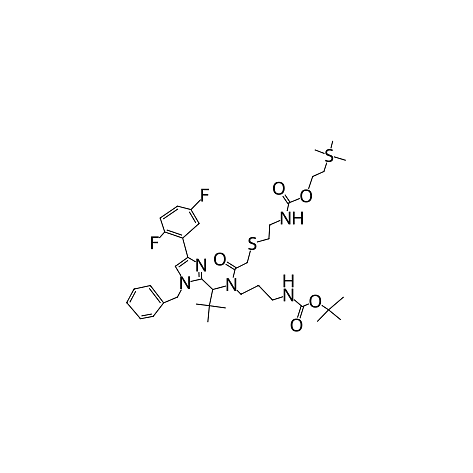 CC(C)(C)OC(=O)NCCCN(C(=O)CSCCNC(=O)OCCS(C)(C)C)C(c1nc(-c2cc(F)ccc2F)cn1Cc1ccccc1)C(C)(C)C